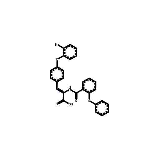 O=C(O)/C(=C/c1ccc(Oc2ccccc2Br)cc1)NC(=O)c1ccccc1Sc1ccccc1